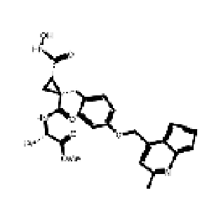 COC(=O)[C@@H](NC(=O)[C@@]1(Cc2ccc(OCc3cc(C)nc4ccccc34)cc2)C[C@@H]1C(=O)NO)C(C)C